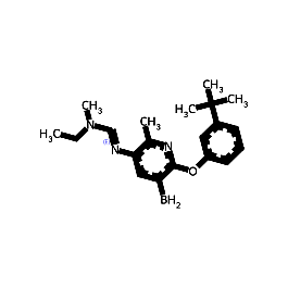 Bc1cc(/N=C/N(C)CC)c(C)nc1Oc1cccc(C(C)(C)C)c1